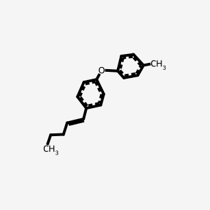 CCC/C=C/c1ccc(Oc2ccc(C)cc2)cc1